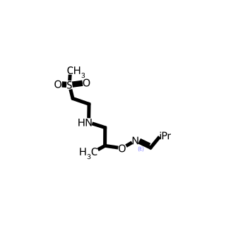 CC(C)/C=N/OC(C)CNCCS(C)(=O)=O